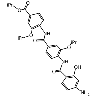 CC(C)OC(=O)c1ccc(NC(=O)c2ccc(NC(=O)c3ccc(N)cc3O)c(OC(C)C)c2)c(OC(C)C)c1